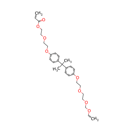 C=COCOCCOCCOc1ccc(C(C)(C)c2ccc(OCCOCCOC(=O)C=C)cc2)cc1